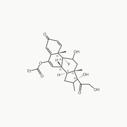 CCC(=O)OC1=C[C@H]2[C@@H]3CC(C)[C@](O)(C(=O)CO)[C@@]3(C)CC(O)[C@]2(F)[C@@]2(C)C=CC(=O)C=C12